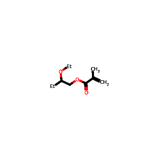 C=C(C)C(=O)OCC(CC)OCC